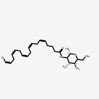 CC/C=C\C/C=C\C/C=C\C/C=C\C/C=C\CCCC(=O)NC1[C@H](O)OC(COC(C)=O)[C@@H](C)[C@@H]1C